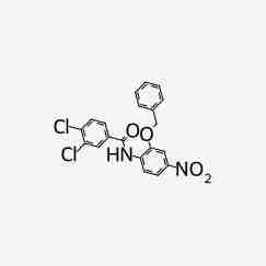 O=C(Nc1ccc([N+](=O)[O-])cc1OCc1ccccc1)c1ccc(Cl)c(Cl)c1